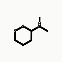 C[SiH](C)C1CCCSS1